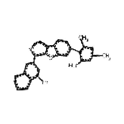 Cc1cc(C)c(-c2ccc3c(c2)oc2c(-c4cc(C(C)C)c5ccccc5c4)nccc23)c(C)c1